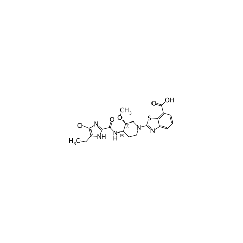 CCc1[nH]c(C(=O)N[C@@H]2CCN(c3nc4cccc(C(=O)O)c4s3)C[C@@H]2OC)nc1Cl